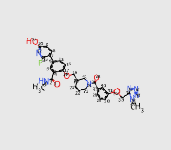 CNC(=O)c1cc(-c2ccc(O)nc2F)ccc1OC[C@@H]1CCCN(C(=O)c2cccc(OCc3nnnn3C)c2)C1